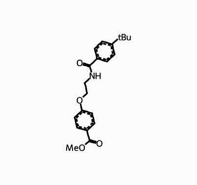 COC(=O)c1ccc(OCCNC(=O)c2ccc(C(C)(C)C)cc2)cc1